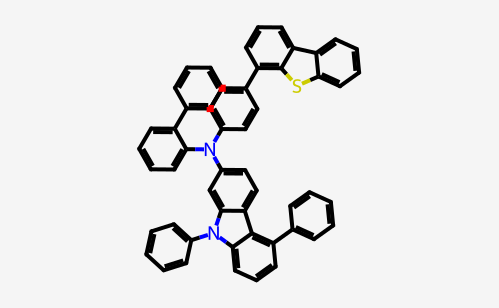 c1ccc(-c2ccccc2N(c2ccc(-c3cccc4c3sc3ccccc34)cc2)c2ccc3c4c(-c5ccccc5)cccc4n(-c4ccccc4)c3c2)cc1